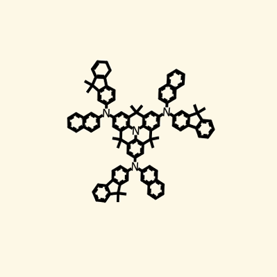 CC1(C)C2=C(CCC=C2)c2ccc(N(c3cc4c5c(c3)C(C)(C)c3cc(N(c6ccc7c(c6)C(C)(C)c6ccccc6-7)c6ccc7ccccc7c6)cc6c3N5c3c(cc(N(c5ccc7c(c5)C(C)(C)c5ccccc5-7)c5ccc7ccccc7c5)cc3C6(C)C)C4(C)C)c3ccc4ccccc4c3)cc21